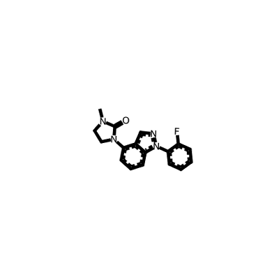 CN1CCN(c2cccc3c2cnn3-c2ccccc2F)C1=O